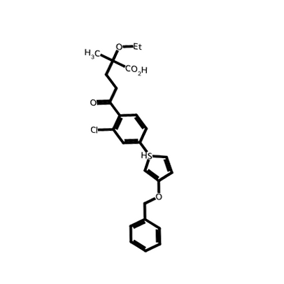 CCOC(C)(CCC(=O)c1ccc([SH]2C=CC(OCc3ccccc3)=C2)cc1Cl)C(=O)O